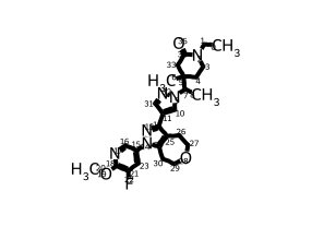 CCN1CCC(C)(C(C)n2cc(-c3nn(-c4cnc(OC)c(F)c4)c4c3CCOCC4)cn2)CC1=O